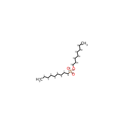 CCCCCCCCCS(=O)(=O)OCCCCCCCC